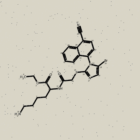 CCOC(=O)C(CCCCN)NC(=O)CSc1ncc(Br)n1-c1ccc(C#N)c2ccccc12